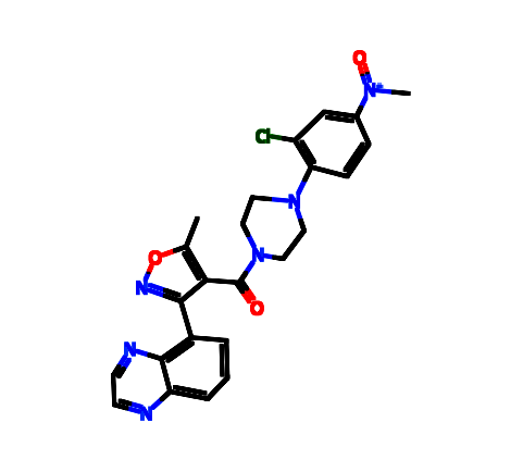 Cc1onc(-c2cccc3nccnc23)c1C(=O)N1CCN(c2ccc([N+](C)=O)cc2Cl)CC1